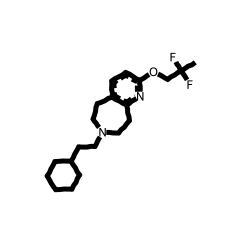 CC(F)(F)COc1ccc2c(n1)CCN(CCC1CCCCC1)CC2